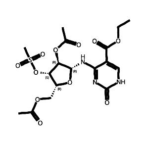 CCOC(=O)c1c[nH]c(=O)nc1N[C@@H]1O[C@H](COC(C)=O)[C@H](OS(C)(=O)=O)[C@H]1OC(C)=O